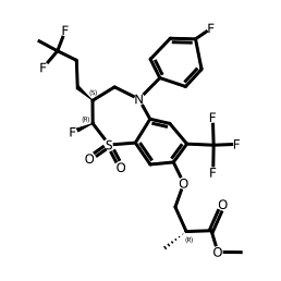 COC(=O)[C@H](C)COc1cc2c(cc1C(F)(F)F)N(c1ccc(F)cc1)C[C@H](CCC(C)(F)F)[C@H](F)S2(=O)=O